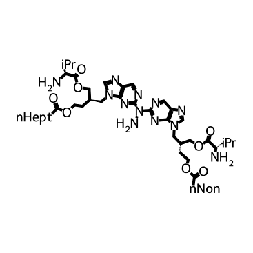 CCCCCCCCCC(=O)OCC[C@@H](COC(=O)[C@@H](N)C(C)C)Cn1cnc2cnc(N(N)c3ncc4ncn(C[C@@H](CCOC(=O)CCCCCCC)COC(=O)[C@@H](N)C(C)C)c4n3)nc21